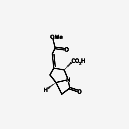 COC(=O)C=C1C[C@@H]2CC(=O)N2[C@H]1C(=O)O